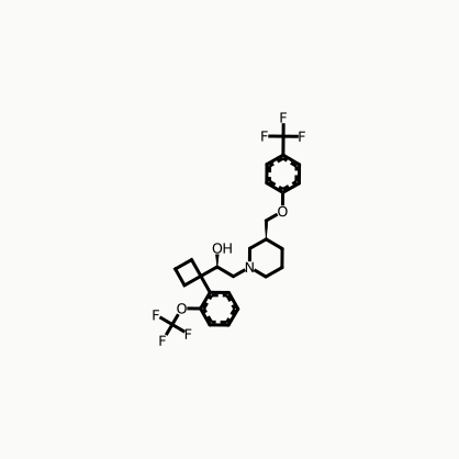 O[C@@H](CN1CCC[C@H](COc2ccc(C(F)(F)F)cc2)C1)C1(c2ccccc2OC(F)(F)F)CCC1